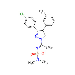 CS/C(=N\S(=O)(=O)N(C)C)N1CC(c2cccc(C(F)(F)F)c2)C(c2ccc(Cl)cc2)=N1